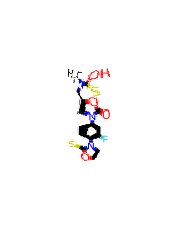 CN(C[C@@H]1CN(c2ccc(N3CCOC3=S)c(F)c2)C(=O)O1)C(O)=S